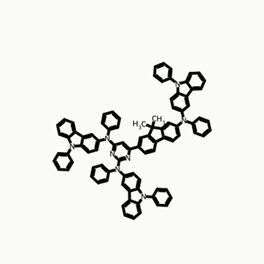 CC1(C)c2cc(-c3cc(N(c4ccccc4)c4ccc5c(c4)c4ccccc4n5-c4ccccc4)nc(N(c4ccccc4)c4ccc5c(c4)c4ccccc4n5-c4ccccc4)n3)ccc2-c2ccc(N(c3ccccc3)c3ccc4c(c3)c3ccccc3n4-c3ccccc3)cc21